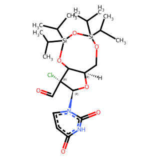 CC(C)[Si]1(C(C)C)OC[C@H]2O[C@@H](n3ccc(=O)[nH]c3=O)[C@@](Cl)(C=O)C2O[Si](C(C)C)(C(C)C)O1